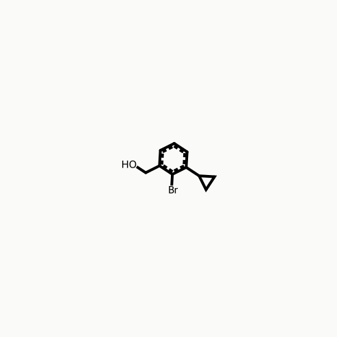 OCc1cccc(C2CC2)c1Br